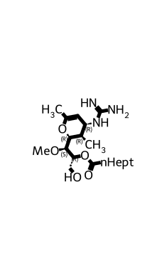 CCCCCCCC(=O)O[C@H](CO)[C@@H](OC)[C@@H]1OC(C)=C[C@H](NC(=N)N)[C@H]1C